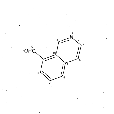 O=[C]c1cccc2ccncc12